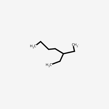 [CH2]C[C](CC)CCCC